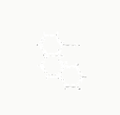 Fc1cccc2ccc3ccccc3c12